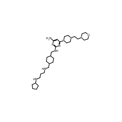 Nc1cc(N2CCN(CCN3CCOCC3)CC2)nc(NCC2CCC(CNCCCNC3CCCC3)CC2)n1